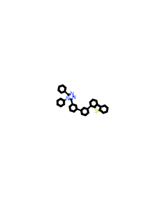 c1ccc(-c2nnc(-c3cccc(-c4cccc(-c5cccc6c5sc5ccccc56)c4)c3)n2-c2ccccc2)cc1